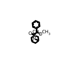 COC(C(=O)N1C2CC1CN(C)C2)c1ccccc1